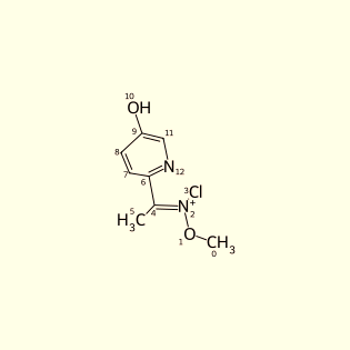 CO[N+](Cl)=C(C)c1ccc(O)cn1